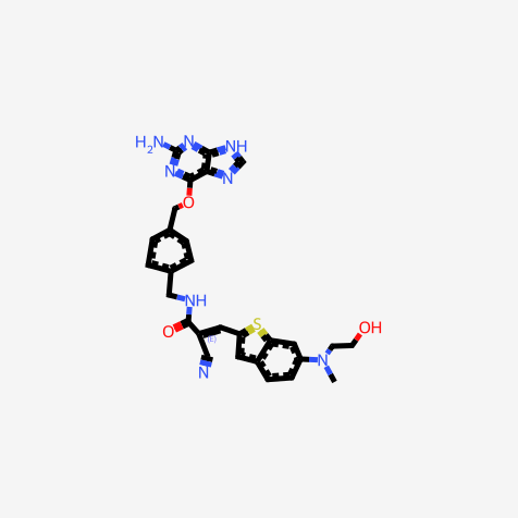 CN(CCO)c1ccc2cc(/C=C(\C#N)C(=O)NCc3ccc(COc4nc(N)nc5[nH]cnc45)cc3)sc2c1